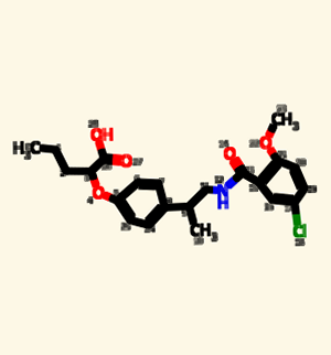 CCCC(Oc1ccc(C(C)CNC(=O)c2cc(Cl)ccc2OC)cc1)C(=O)O